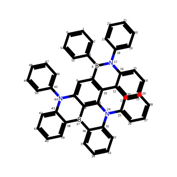 c1ccc(B2c3cc4c5c(c3-c3ccccc3N2c2ccccc2)N(c2ccccc2)c2ccccc2B5c2ccccc2N4c2ccccc2)cc1